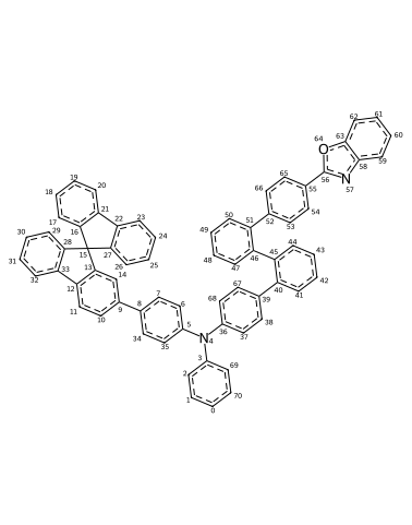 c1ccc(N(c2ccc(-c3ccc4c(c3)C3(c5ccccc5-c5ccccc53)c3ccccc3-4)cc2)c2ccc(-c3ccccc3-c3ccccc3-c3ccc(-c4nc5ccccc5o4)cc3)cc2)cc1